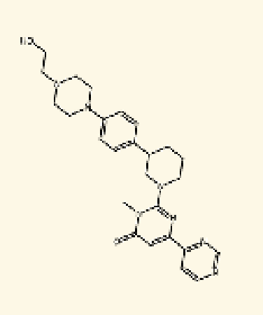 Cn1c(N2CCCC(c3ccc(N4CCN(CCO)CC4)cc3)C2)nc(-c2ccncn2)cc1=O